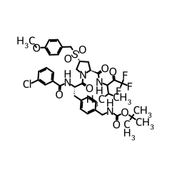 COc1ccc(CS(=O)(=O)[C@@H]2C[C@@H](C(=O)NC(C(=O)C(F)(F)F)C(C)C)N(C(=O)[C@H](Cc3ccc(CNC(=O)OC(C)(C)C)cc3)NC(=O)c3cccc(Cl)c3)C2)cc1